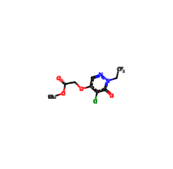 CC(C)(C)OC(=O)COc1cnn(CC(F)(F)F)c(=O)c1Cl